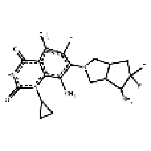 Cc1c(F)c(N2CC3CC(F)(F)C(N)C3C2)c(C)c2c1c(=O)[nH]c(=O)n2C1CC1